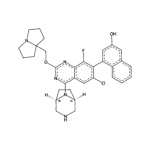 Oc1cc(-c2c(Cl)cc3c(N4[C@@H]5CC[C@H]4CNC5)nc(OCC45CCCN4CCC5)nc3c2F)c2ccccc2c1